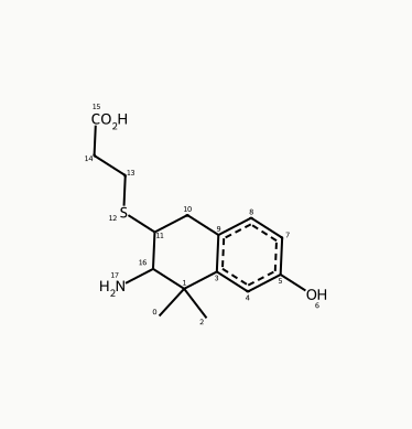 CC1(C)c2cc(O)ccc2CC(SCCC(=O)O)C1N